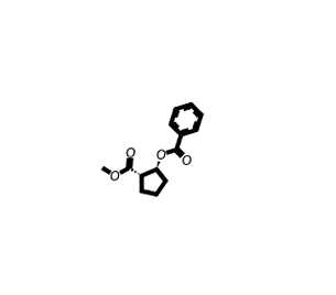 COC(=O)[C@H]1CCC[C@H]1OC(=O)c1ccccc1